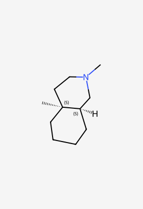 CN1CC[C@]2(C)CCCC[C@@H]2C1